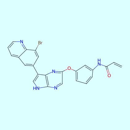 C=CC(=O)Nc1cccc(Oc2cnc3[nH]cc(-c4cc(Br)c5ncccc5c4)c3n2)c1